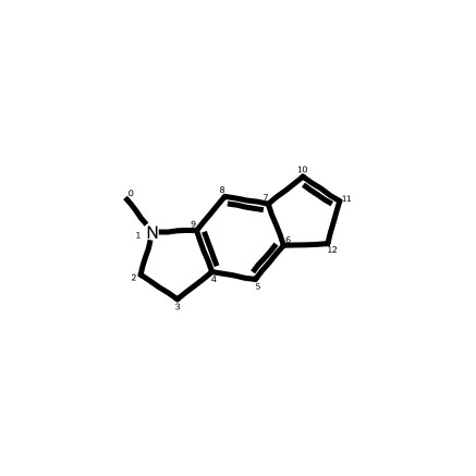 CN1CCc2cc3c(cc21)C=CC3